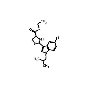 CCOC(=O)C1CSC(c2cn(CC(C)C)c3ccc(Cl)cc23)N1